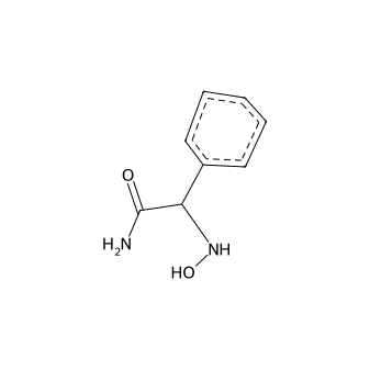 NC(=O)C(NO)c1ccccc1